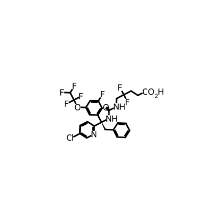 O=C(O)CCC(F)(F)CNC(=O)N[C@@](Cc1ccccc1)(c1cc(F)cc(OC(F)(F)C(F)F)c1)c1ccc(Cl)cn1